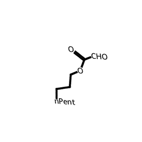 CCCCCCCCOC(=O)C=O